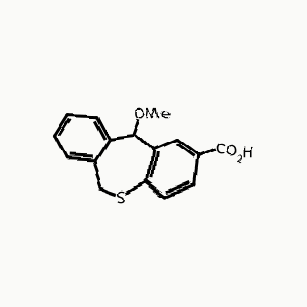 COC1c2ccccc2CSc2ccc(C(=O)O)cc21